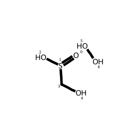 O=S(O)CO.OO